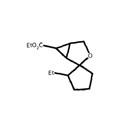 CCOC(=O)C1C2COC3(CCCC3CC)C21